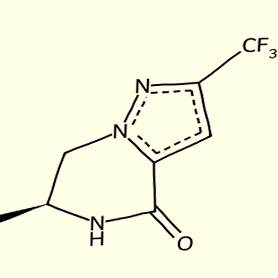 C[C@H]1Cn2nc(C(F)(F)F)cc2C(=O)N1